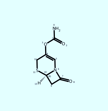 NC(=O)OC1=CN2C(=O)C[C@H]2SC1